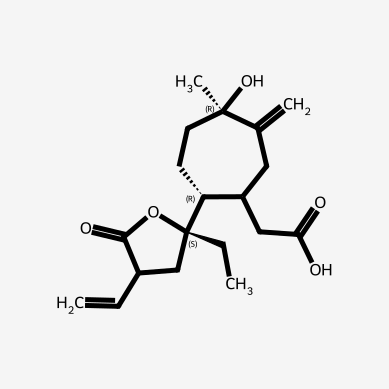 C=CC1C[C@@](CC)([C@@H]2CC[C@@](C)(O)C(=C)CC2CC(=O)O)OC1=O